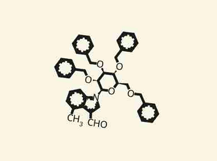 Cc1cccc2c1c(C=O)cn2[C@@H]1O[C@H](COCc2ccccc2)[C@@H](OCc2ccccc2)[C@H](OCc2ccccc2)[C@H]1OCc1ccccc1